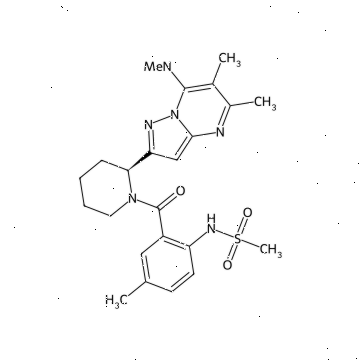 CNc1c(C)c(C)nc2cc([C@@H]3CCCCN3C(=O)c3cc(C)ccc3NS(C)(=O)=O)nn12